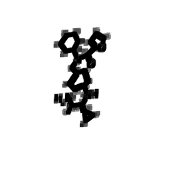 C[C@@H](N)C(Nc1ccc(CN(C(=O)c2ccco2)C2CCCCC2)cc1)=C1CC1